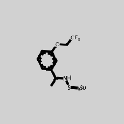 CCC(C)SNC(C)c1cccc(OCC(F)(F)F)c1